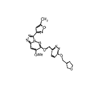 COc1cc2nnc(-c3cc(C)on3)n2nc1OCc1ccc(OCC2CCOC2)nn1